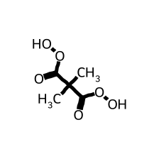 CC(C)(C(=O)OO)C(=O)OO